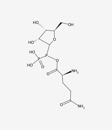 NC(=O)CC[C@H](N)C(=O)OP(C1O[C@H](CO)[C@@H](O)[C@H]1O)P(=O)(O)O